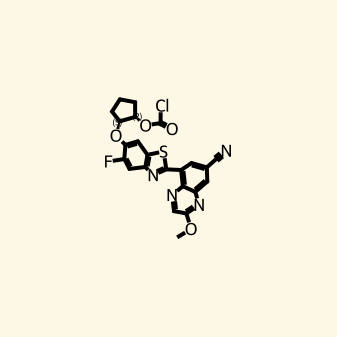 COc1cnc2c(-c3nc4cc(F)c(O[C@H]5CCC[C@H]5OC(=O)Cl)cc4s3)cc(C#N)cc2n1